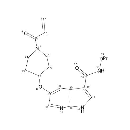 C=CC(=O)N1CCC(Oc2cnc3[nH]cc(C(=O)NCCC)c3c2)CC1